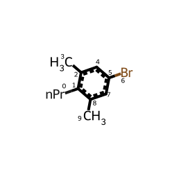 CCCc1c(C)cc(Br)cc1C